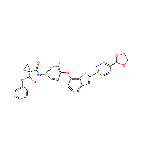 O=C(Nc1ccccc1)C1(C(=O)Nc2ccc(Oc3ccnc4cc(-c5ccc(C6OCCO6)cn5)sc34)c(F)c2)CC1